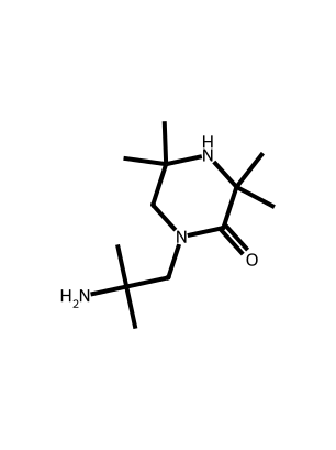 CC(C)(N)CN1CC(C)(C)NC(C)(C)C1=O